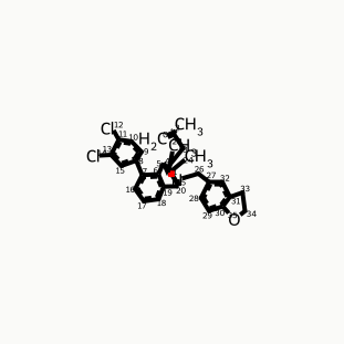 C=C(C)CC1C2c3c(-c4ccc(Cl)c(Cl)c4)cccc3C(CC2(C)C)N1Cc1ccc2c(c1)CCO2